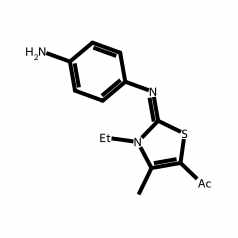 CCn1c(C)c(C(C)=O)sc1=Nc1ccc(N)cc1